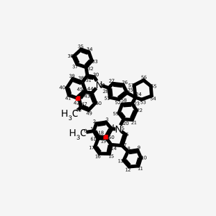 Cc1ccc(N(C=C(c2ccccc2)c2ccccc2)c2ccc(C3(c4ccc(N(C=C(c5ccccc5)c5ccccc5)c5ccc(C)cc5)cc4)CCCCC3)cc2)cc1